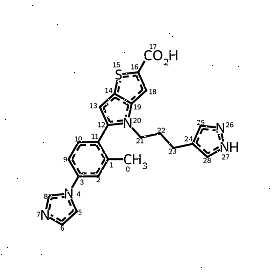 Cc1cc(-n2ccnc2)ccc1-c1cc2sc(C(=O)O)cc2n1CCCc1cn[nH]c1